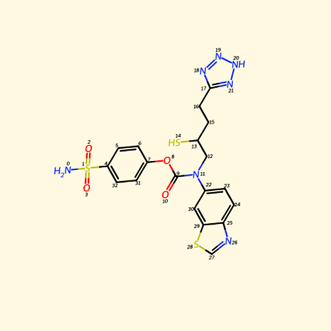 NS(=O)(=O)c1ccc(OC(=O)N(CC(S)CCc2nn[nH]n2)c2ccc3ncsc3c2)cc1